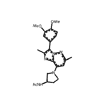 COc1ccc(-c2c(C)nc3c(N4CCC(NC(C)=O)C4)cc(C)nn23)cc1OC